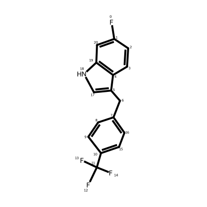 Fc1ccc2c(Cc3ccc(C(F)(F)F)cc3)c[nH]c2c1